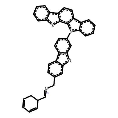 C1=CCC(/C=N/Cc2ccc3c(c2)oc2cc(-n4c5ccccc5c5ccc6c7ccccc7sc6c54)ccc23)C=C1